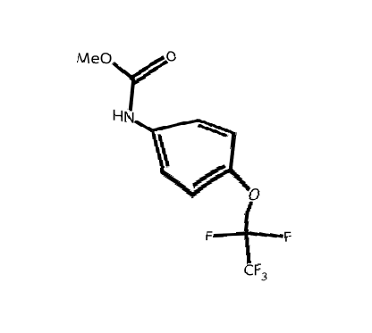 COC(=O)Nc1ccc(OC(F)(F)C(F)(F)F)cc1